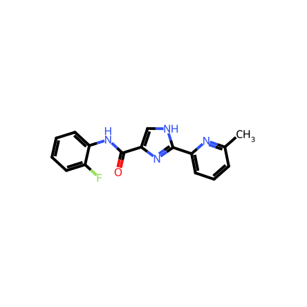 Cc1cccc(-c2nc(C(=O)Nc3ccccc3F)c[nH]2)n1